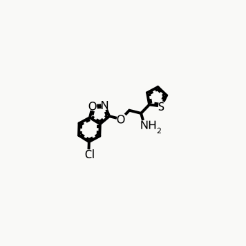 NC(COc1noc2ccc(Cl)cc12)c1cccs1